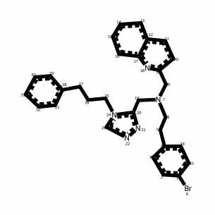 Brc1ccc(CCN(Cc2ccc3ccccc3n2)Cc2nncn2CCCc2ccccc2)cc1